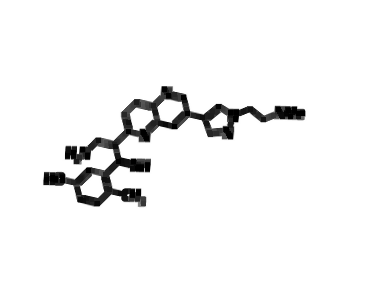 CNCCn1cc(-c2cnc3ccc(/C(=C/N)C(=N)c4cc(O)ccc4C)nc3c2)cn1